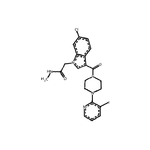 CNC(=O)Cn1cc(C(=O)N2CCN(c3ncccc3I)CC2)c2ccc(Cl)cc21